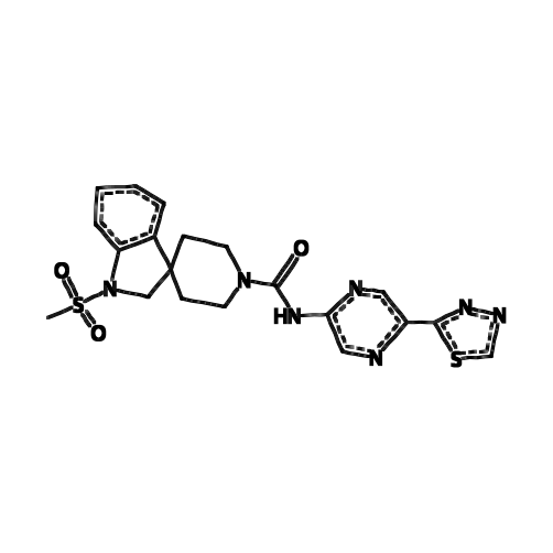 CS(=O)(=O)N1CC2(CCN(C(=O)Nc3cnc(-c4nncs4)cn3)CC2)c2ccccc21